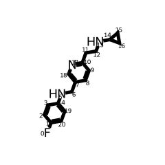 Fc1ccc(NCc2ccc(CCNC3CC3)nc2)cc1